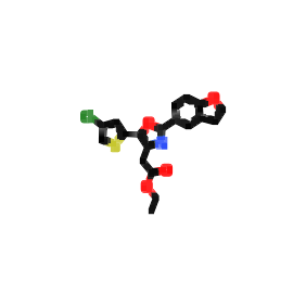 CCOC(=O)Cc1nc(-c2ccc3occc3c2)oc1-c1cc(Cl)cs1